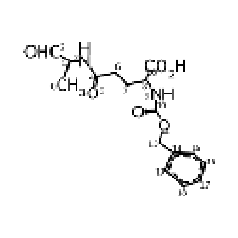 CC([C]=O)NC(=O)CCC(NC(=O)OCc1ccccc1)C(=O)O